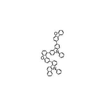 c1ccc(-n2c3ccc(-c4ccc5oc6ccccc6c5c4)cc3c3cc(-c4cccc5oc6ccc(-c7cccc8c7c7ccc9ccccc9c7n8-c7ccccc7)cc6c45)ccc32)cc1